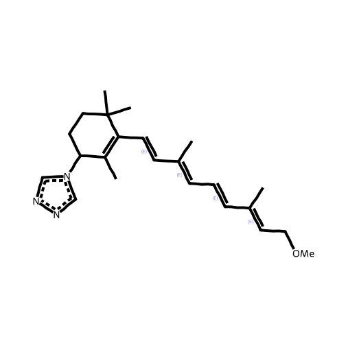 COC/C=C(C)/C=C/C=C(C)/C=C/C1=C(C)C(n2cnnc2)CCC1(C)C